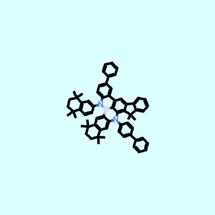 CC1(C)CCC(C)(C)c2cc(N3B4c5cc6c(cc5N(c5ccc(-c7ccccc7)cc5)c5c4c(cc4c5C(C)(C)c5ccccc5-4)-c4cc(-c5ccccc5)ccc43)C(C)(C)CCC6(C)C)ccc21